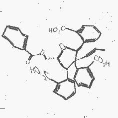 CC#C[C@]1(c2ccccc2C(=O)O)C(c2ccccc2C(=O)O)O[C@@H](COC(=O)c2ccccc2)[C@@H]1c1ccccc1C(=O)O